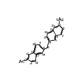 CC(=O)c1ccc2cc(Cc3ccc4cc(C(C)=O)ccc4c3)ccc2c1